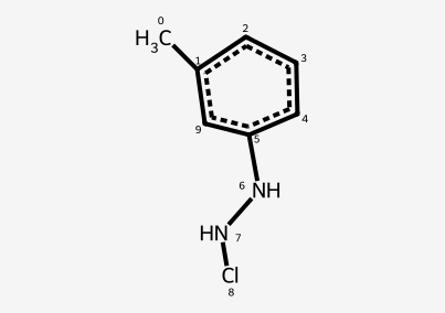 Cc1cccc(NNCl)c1